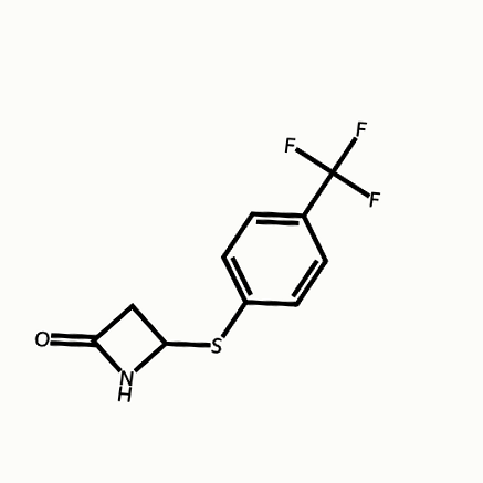 O=C1CC(Sc2ccc(C(F)(F)F)cc2)N1